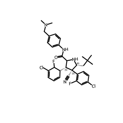 CN(C)Cc1ccc(NC(=O)C2N[C@H](CC(C)(C)C)[C@@](C#N)(c3ccc(Cl)cc3F)[C@@H]2C2C=CC=C(Cl)C2F)cc1